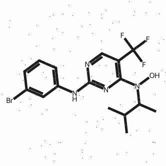 CC(C)C(C)N(O)c1nc(Nc2cccc(Br)c2)ncc1C(F)(F)F